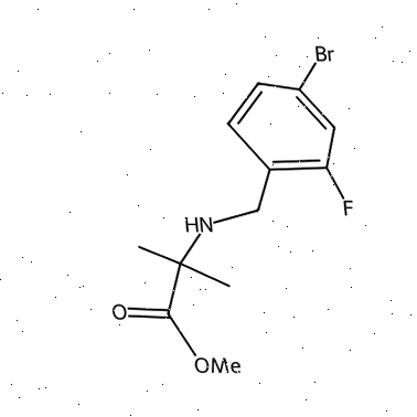 COC(=O)C(C)(C)NCc1ccc(Br)cc1F